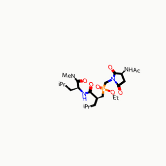 CCOP(=O)(C[C@@H](CC(C)C)C(=O)N[C@@H](CC(C)C)C(=O)NC)CN1C(=O)C[C@H](NC(C)=O)C1=O